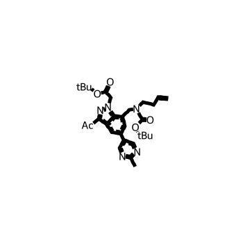 C=CCCN(Cc1cc(-c2cnc(C)nc2)cc2c(C(C)=O)nn(CC(=O)OC(C)(C)C)c12)C(=O)OC(C)(C)C